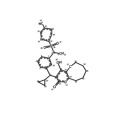 CN(c1cccc(C(c2c(O)c3c(oc2=O)CCCCCC3)C2CC2)c1)S(=O)(=O)c1ccc(C#N)cn1